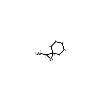 CC(C)(C)C1OC12CCCCC2